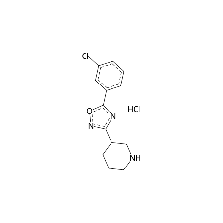 Cl.Clc1cccc(-c2nc(C3CCCNC3)no2)c1